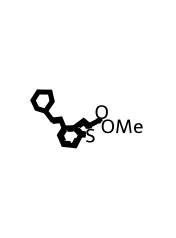 COC(=O)c1cc2c(C=CC3CCCCC3)cccc2s1